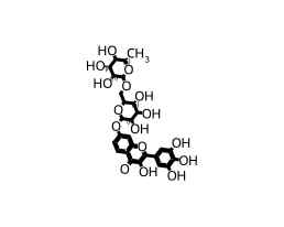 C[C@@H]1OC(OCC2OC(Oc3ccc4c(=O)c(O)c(-c5cc(O)c(O)c(O)c5)oc4c3)[C@H](O)C(O)[C@@H]2O)[C@H](O)[C@H](O)C1O